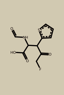 O=CNC(C(=O)O)C(C(=O)CF)c1cccs1